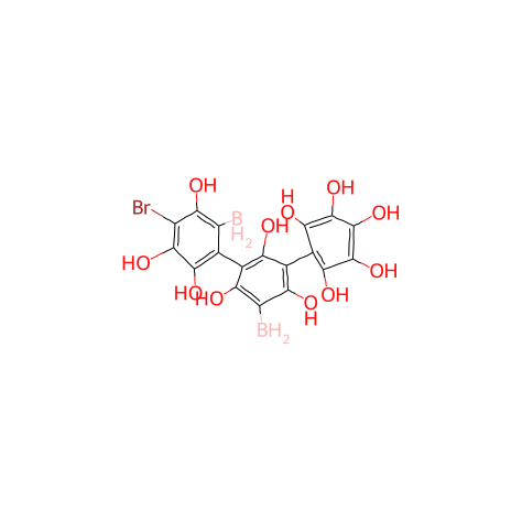 Bc1c(O)c(-c2c(B)c(O)c(Br)c(O)c2O)c(O)c(-c2c(O)c(O)c(O)c(O)c2O)c1O